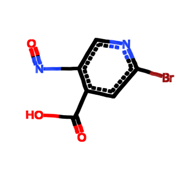 O=Nc1cnc(Br)cc1C(=O)O